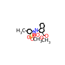 COC(=O)c1cc2ccccc2c(/N=N/c2ccc(C)cc2S(=O)(=O)OC)c1O